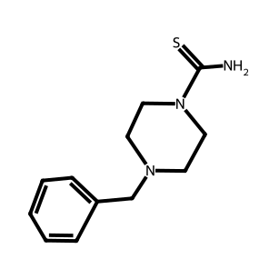 NC(=S)N1CCN(Cc2ccccc2)CC1